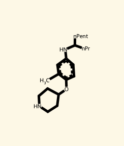 CCCCCC(CCC)Nc1ccc(OC2CCNCC2)c(C)c1